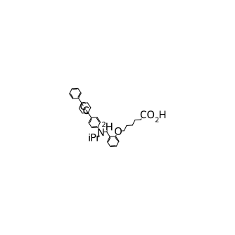 [2H]C(c1ccccc1OCCCCCC(=O)O)N(c1ccc(C23CCC(c4ccccc4)(CC2)CC3)cc1)C(C)C